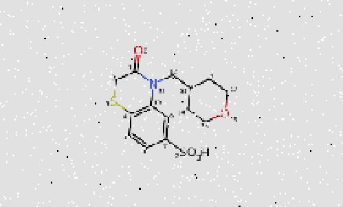 O=C1CSc2ccc(S(=O)(=O)O)cc2N1CC1CCOCC1